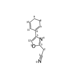 N#CCc1nc(C2=CCCC=C2)co1